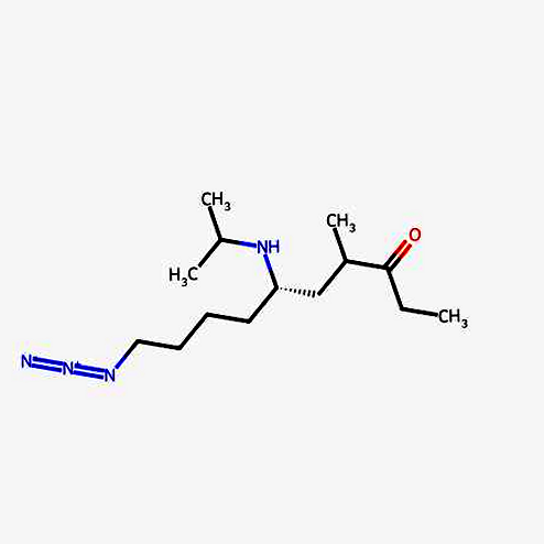 CCC(=O)C(C)C[C@H](CCCCN=[N+]=[N-])NC(C)C